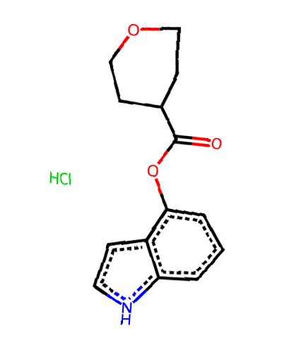 Cl.O=C(Oc1cccc2[nH]ccc12)C1CCOCC1